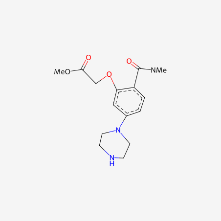 CNC(=O)c1ccc(N2CCNCC2)cc1OCC(=O)OC